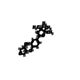 CC1(C)OB(c2ccc(O[C@@H]3COC[C@H]3O)cc2)OC1(C)C